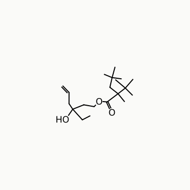 C=CCC(O)(CC)CCOC(=O)C(C)(CC(C)(C)C)C(C)(C)C